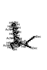 CCCCCCCCCCCCC/C=C/[C@@H](O)[C@H](CO[C@@H]1OC(CO)[C@@H](O[C@@H]2OC(CO)[C@H](O[C@@H]3OC(CO)[C@H](O)[C@H](O[C@@H]4OC(CO)[C@H](O)[C@H](O[C@@H]5OC(CO)[C@@H](O[C@@H]6OC(CO)[C@H](O)[C@H](O)C6O)[C@H](O)C5NC(C)=O)C4O)C3NC(C)=O)[C@H](O[C@]3(C(=O)O)CC(O)[C@@H](NC(C)=O)C([C@H](O)[C@H](O)CO)O3)C2O)[C@H](O)C1O)NC(=O)CCCCCCCCCCCCCCCCCCC